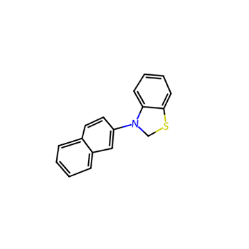 c1ccc2c(c1)SCN2c1ccc2ccccc2c1